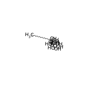 CCCCCCCCCCCCCCCC(=O)C(C)(O)C(O)OP(=O)(O)OC1C(O)C(O)C(O)C(O)C1O